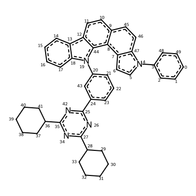 c1ccc(-n2ccc3c4c(ccc5c6ccccc6n(-c6cccc(-c7nc(C8CCCCC8)nc(C8CCCCC8)n7)c6)c54)ccc32)cc1